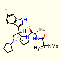 CN[C@@H](C)C(=O)N[C@H](C(=O)N1CC[C@@H]2[C@H]1[C@H](c1c[nH]c3cc(F)ccc13)CN2C1CCCC1)C(C)(C)C